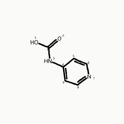 O=C(O)Nc1c[c]ncc1